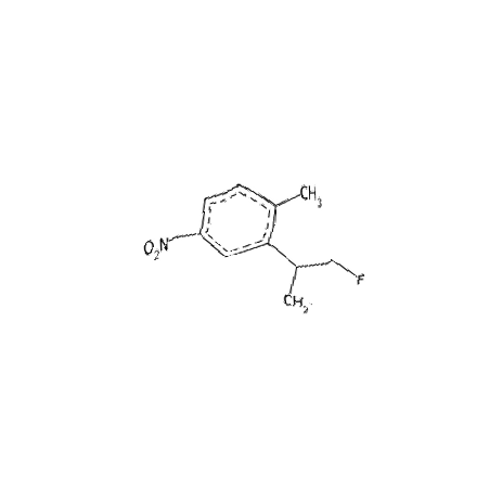 [CH2]C(CF)c1cc([N+](=O)[O-])ccc1C